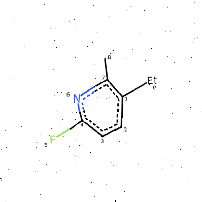 CCc1ccc(F)nc1C